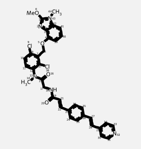 COc1nc2c(OCc3c(Cl)ccc(N(C)C(=O)CNC(=O)C=Cc4ccc(C=Cc5ccncc5)cc4)c3Cl)cccc2n1C